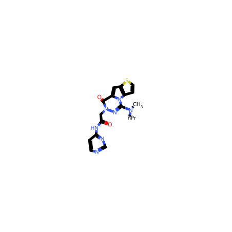 CCCN(C)c1nn(CC(=O)Nc2ccncn2)c(=O)c2cc3sccc3n12